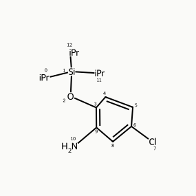 CC(C)[Si](Oc1ccc(Cl)cc1N)(C(C)C)C(C)C